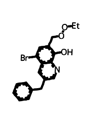 CCOOCc1cc(Br)c2cc(Cc3ccccc3)cnc2c1O